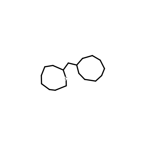 C1CCCCC(CC2CCCCCCCC2)CCC1